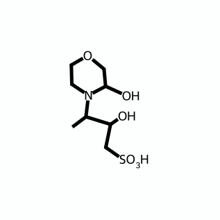 CC(C(O)CS(=O)(=O)O)N1CCOCC1O